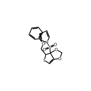 O=S(=O)(n1cccc1)C12OCOC1=CSC2COc1ccccc1